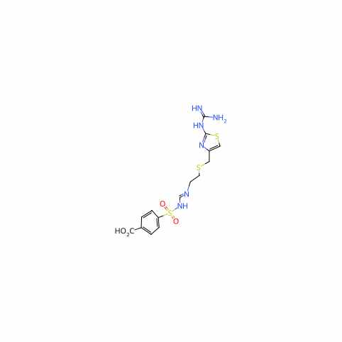 N=C(N)Nc1nc(CSCCN=CNS(=O)(=O)c2ccc(C(=O)O)cc2)cs1